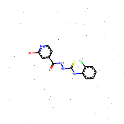 O=C(NNC(=S)Nc1ccccc1Cl)c1ccnc(O)c1